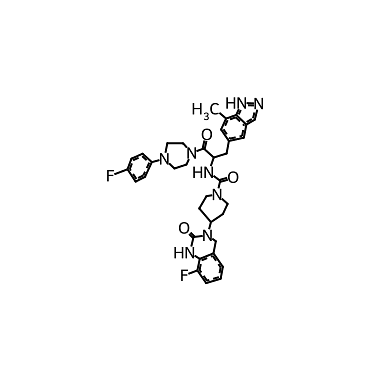 Cc1cc(CC(NC(=O)N2CCC(N3Cc4cccc(F)c4NC3=O)CC2)C(=O)N2CCN(c3ccc(F)cc3)CC2)cc2cn[nH]c12